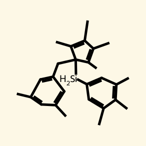 CC1=C(C)C(Cc2cc(C)cc(C)c2)([SiH2]c2cc(C)c(C)c(C)c2)C(C)=C1C